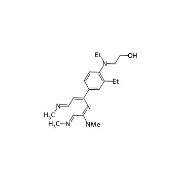 CCc1cc(C(=C/C=N/C)/N=C(\C=N\C)NC)ccc1N(CC)CCO